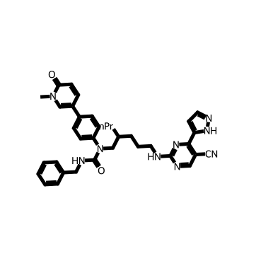 CCCC(CCCNc1ncc(C#N)c(-c2ccn[nH]2)n1)CN(C(=O)NCc1ccccc1)c1ccc(-c2ccc(=O)n(C)c2)cc1